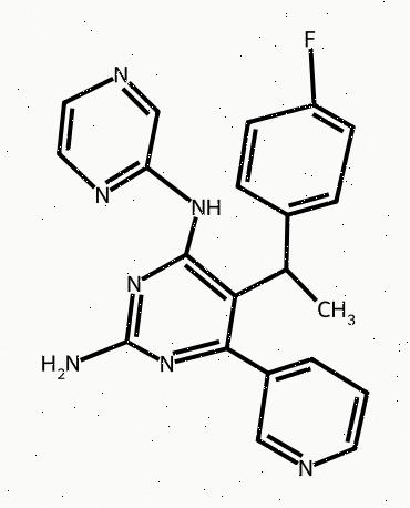 CC(c1ccc(F)cc1)c1c(Nc2cnccn2)nc(N)nc1-c1cccnc1